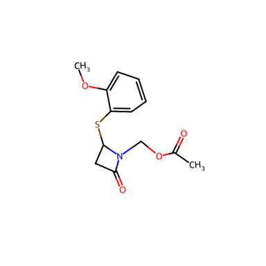 COc1ccccc1SC1CC(=O)N1COC(C)=O